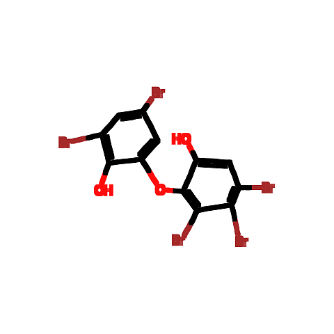 Oc1cc(Br)c(Br)c(Br)c1Oc1cc(Br)cc(Br)c1O